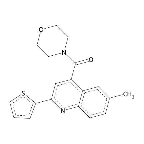 Cc1ccc2nc(-c3cccs3)cc(C(=O)N3CCOCC3)c2c1